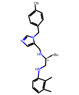 CCCC[C@@H](CNc1cccc(C)c1C)NCc1cncn1Cc1ccc(C#N)cc1